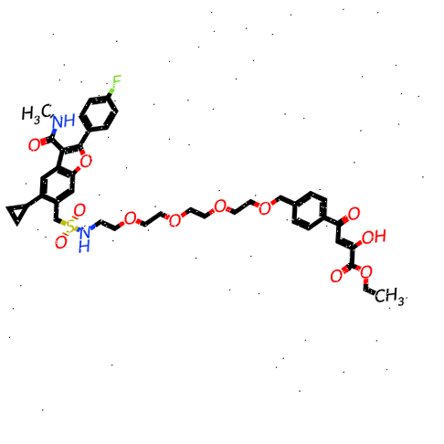 CCOC(=O)/C(O)=C/C(=O)c1ccc(COCCOCCOCCOCCNS(=O)(=O)Cc2cc3oc(-c4ccc(F)cc4)c(C(=O)NC)c3cc2C2CC2)cc1